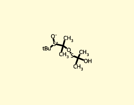 CC(C)(O)SOC(C)(C)[S+]([O-])C(C)(C)C